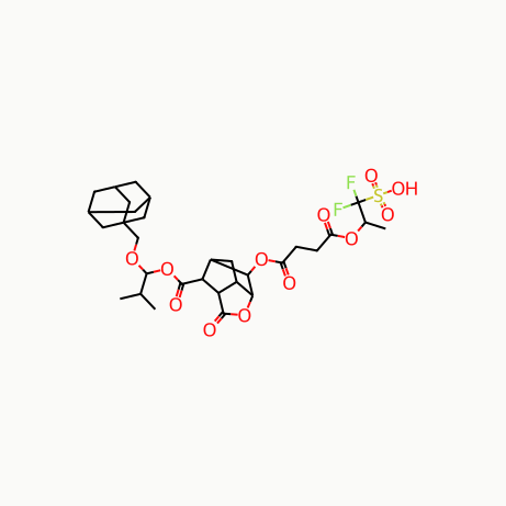 CC(C)C(OCC12CC3CC(CC(C3)C1)C2)OC(=O)C1C2CC3C(OC(=O)C31)C2OC(=O)CCC(=O)OC(C)C(F)(F)S(=O)(=O)O